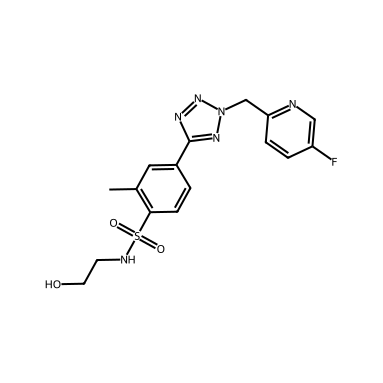 Cc1cc(-c2nnn(Cc3ccc(F)cn3)n2)ccc1S(=O)(=O)NCCO